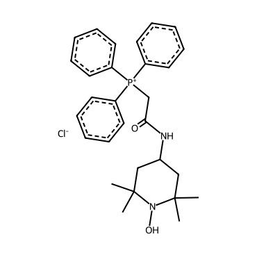 CC1(C)CC(NC(=O)C[P+](c2ccccc2)(c2ccccc2)c2ccccc2)CC(C)(C)N1O.[Cl-]